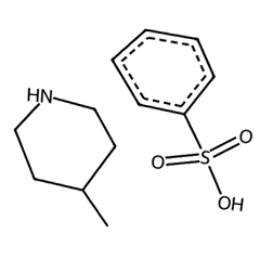 CC1CCNCC1.O=S(=O)(O)c1ccccc1